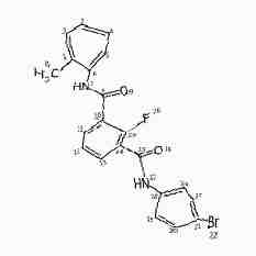 Cc1ccccc1NC(=O)c1cccc(C(=O)Nc2ccc(Br)cc2)c1F